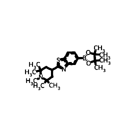 CN1C(C)(C)CC(c2nc3cc(B4OC(C)(C)C(C)(C)O4)ccc3s2)CC1(C)C